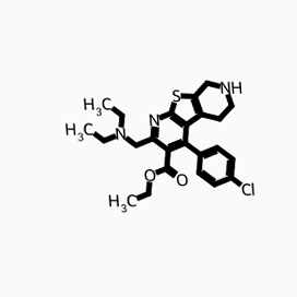 CCOC(=O)c1c(CN(CC)CC)nc2sc3c(c2c1-c1ccc(Cl)cc1)CCNC3